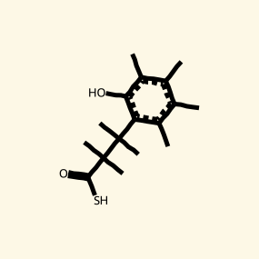 Cc1c(C)c(C)c(C(C)(C)C(C)(C)C(=O)S)c(O)c1C